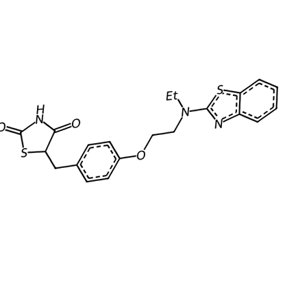 CCN(CCOc1ccc(CC2SC(=O)NC2=O)cc1)c1nc2ccccc2s1